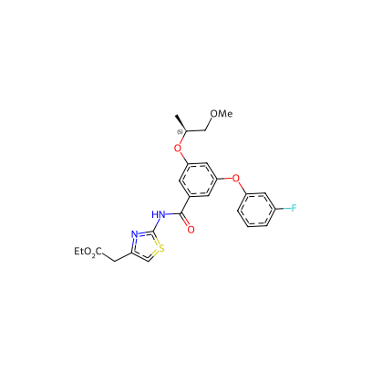 CCOC(=O)Cc1csc(NC(=O)c2cc(Oc3cccc(F)c3)cc(O[C@@H](C)COC)c2)n1